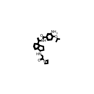 C=C(NC(=O)c1ccc(OC(C)C)c(N)c1)c1cccc2c1CC[C@@H]2NCC(=O)N1CCC1